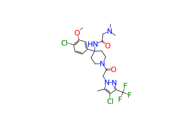 COc1cc(C2(NC(=O)CN(C)C)CCN(C(=O)Cn3nc(C(F)(F)F)c(Cl)c3C)CC2)ccc1Cl